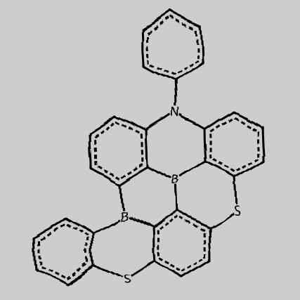 c1ccc(N2c3cccc4c3B3c5c(cccc52)B2c5ccccc5Sc5ccc(c3c52)S4)cc1